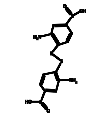 Nc1cc(S(=O)O)ccc1SSc1ccc(S(=O)O)cc1N